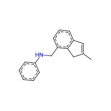 CC1=Cc2cccc(CNc3ccccc3)c2C1